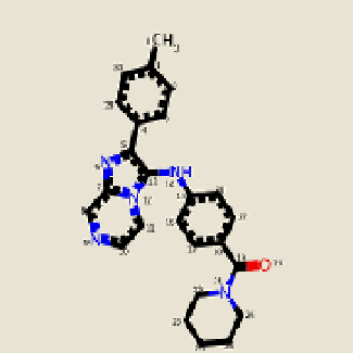 Cc1ccc(-c2nc3cnccn3c2Nc2ccc(C(=O)N3CCCCC3)cc2)cc1